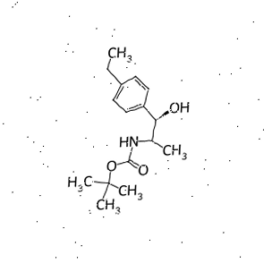 CCc1ccc([C@@H](O)C(C)NC(=O)OC(C)(C)C)cc1